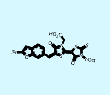 CCCCCCCCN1C(=O)/C(=c2\s/c(=C/c3ccc4cc(C(C)C)oc4c3)c(=O)n2CC(=O)O)SC1=S